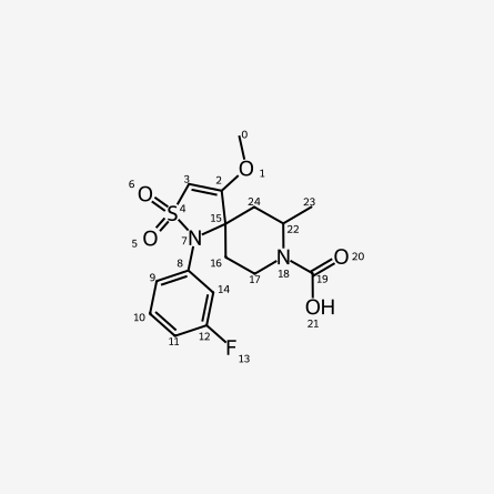 COC1=CS(=O)(=O)N(c2cccc(F)c2)C12CCN(C(=O)O)C(C)C2